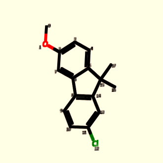 COc1ccc2c(c1)-c1ccc(Cl)cc1C2(C)C